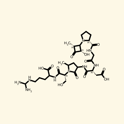 CC1CC(NC(=O)[C@@H](CC(=O)O)NC(=O)CNC(=O)[C@H]2CCCN2C2[C@H](O)C(=O)[C@@H]2C)C(=O)N1[C@H](CO)C(=O)NC(CCCNC(N)N)C(=O)O